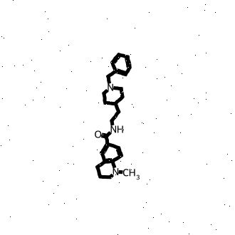 CN1CCCc2cc(C(=O)NCCC3CCN(Cc4ccccc4)CC3)ccc21